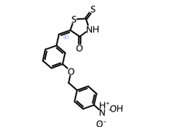 O=C1NC(=S)S/C1=C/c1cccc(OCc2ccc([NH+]([O-])O)cc2)c1